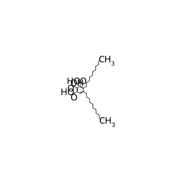 CCCCCCCCCCCc1cc(C(=O)O)c(C(=O)O)c(C(=O)O)c1CCCCCCCCCCC